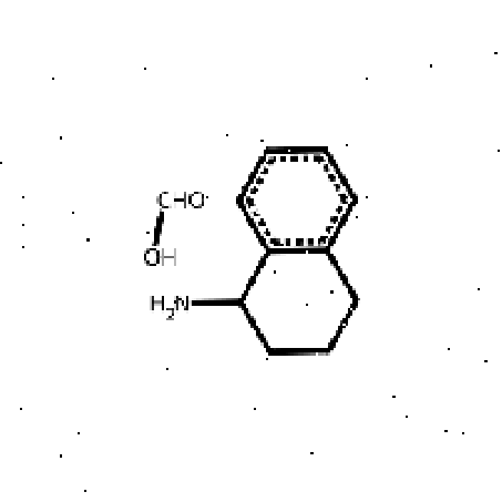 NC1CCCc2ccccc21.O=CO